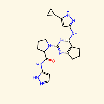 O=C(Nc1ccn[nH]1)C1CCCN1c1nc2c(c(Nc3cc(C4CC4)[nH]n3)n1)CCC2